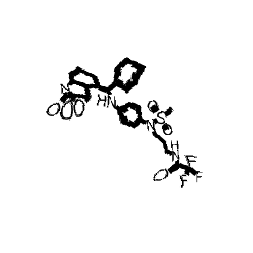 CS(=O)(=O)N(CCCNC(=O)C(F)(F)F)c1ccc(NC(=C2CC=CC3=C2C2OC(=O)N3C2=O)c2ccccc2)cc1